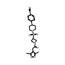 Cc1noc(C)c1CC(=O)N1CC(S(=O)(=O)N2CCC(c3ccc(C#N)cc3)CC2)C1